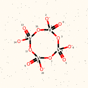 [O]=[V]1([O-])[O][V](=[O])([O-])[O][V](=[O])([O-])[O][V](=[O])([O-])[O]1